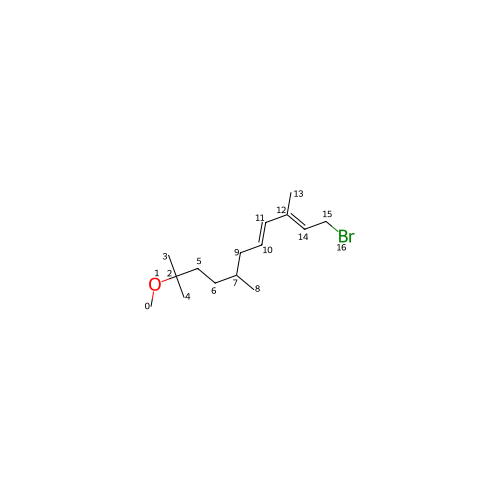 COC(C)(C)CCC(C)CC=CC(C)=CCBr